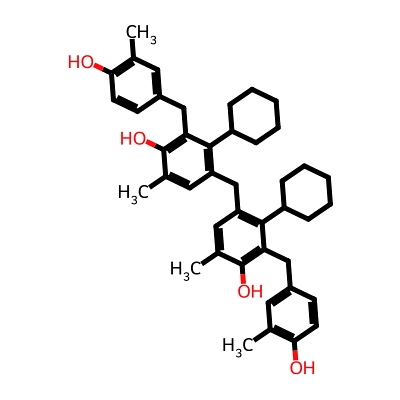 Cc1cc(Cc2c(O)c(C)cc(Cc3cc(C)c(O)c(Cc4ccc(O)c(C)c4)c3C3CCCCC3)c2C2CCCCC2)ccc1O